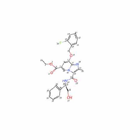 CCOC(=O)c1cc(OCc2ccccc2F)c2nc(C)c(C(=O)N[C@@H](CO)c3ccccc3)n2c1